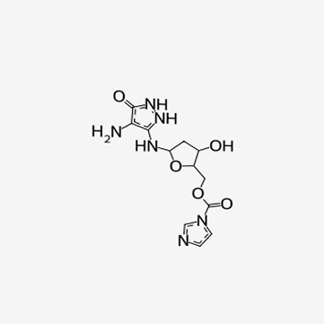 Nc1c(NC2CC(O)C(COC(=O)n3ccnc3)O2)[nH][nH]c1=O